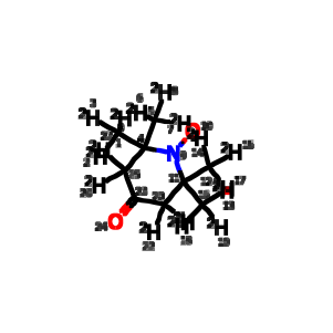 [2H]C([2H])([2H])C1(C([2H])([2H])[2H])N([O])C(C([2H])([2H])[2H])(C([2H])([2H])[2H])C([2H])([2H])C(=O)C1([2H])[2H]